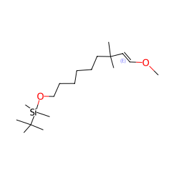 CO/C=C/C(C)(C)CCCCCCO[Si](C)(C)C(C)(C)C